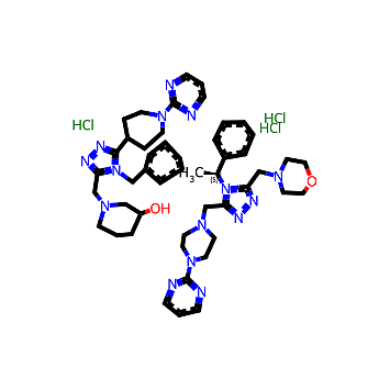 C[C@@H](c1ccccc1)n1c(CN2CCOCC2)nnc1CN1CCN(c2ncccn2)CC1.Cl.Cl.Cl.OC1CCCN(Cc2nnc(C3CCN(c4ncccn4)CC3)n2Cc2ccccc2)C1